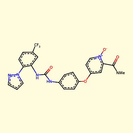 CNC(=O)c1cc(Oc2ccc(NC(=O)Nc3cc(C(F)(F)F)ccc3-n3cccn3)cc2)cc[n+]1[O-]